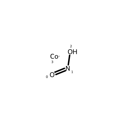 O=NO.[Co]